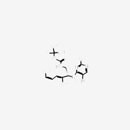 C/C=C\C=C(/C)[C@@H](CNC(=O)OC(C)(C)C)Nc1nc(Cl)ncc1Br